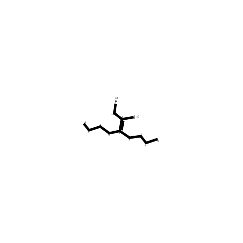 CCCCC(CCCC)=C(I)CF